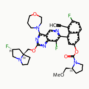 C#Cc1c(F)ccc2cc(OC(=O)N3CCC[C@H]3COC)cc(-c3ncc4c(N5CCCOCC5)nc(OC[C@@]56CCCN5C[C@H](F)C6)nc4c3F)c12